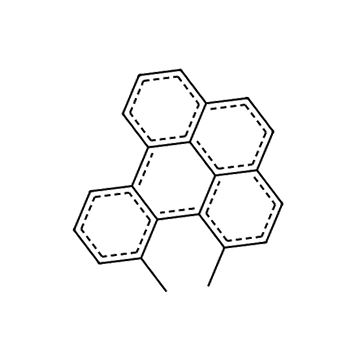 Cc1cccc2c3cccc4ccc5ccc(C)c(c12)c5c43